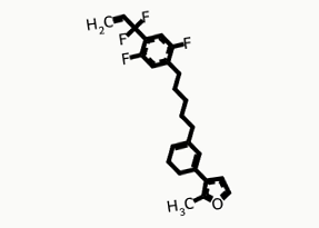 C=CC(F)(F)c1cc(F)c(CCCCCC2=CCCC(c3ccoc3C)=C2)cc1F